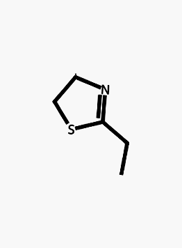 CCC1=N[CH]CS1